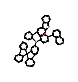 c1ccc(N(c2ccc(-c3cccc4ccccc34)cc2)c2ccc3c(c2)C2(c4ccccc4-c4ccccc42)c2ccccc2-3)c(-c2ccc3oc4ccccc4c3c2)c1